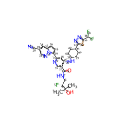 CC(C)(O)[C@H](F)CNC(=O)c1cnc(-c2ccc3cc(C#N)cnn23)cc1NC1CCC(c2nnc(C(F)F)s2)CC1